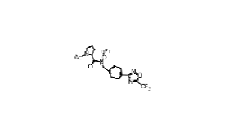 CCCON(Cc1ccc(-c2noc(C(F)(F)F)n2)cc1)C(=O)C1CCCN1C(C)=O